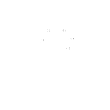 Oc1c(O)c(O)c(-c2ccc3c(-c4cccc5ccccc45)c4ccccc4c(-c4ccc5ccccc5c4)c3c2)c(O)c1O